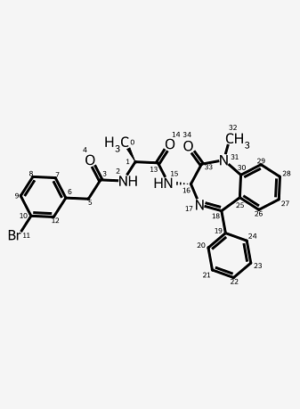 C[C@H](NC(=O)Cc1cccc(Br)c1)C(=O)N[C@H]1N=C(c2ccccc2)c2ccccc2N(C)C1=O